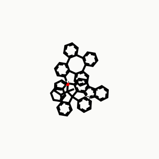 CC12C=CC=CC1c1ccccc1C2(c1ccccc1)c1c(N(C2=CCCC=C2)c2cccc3c2-c2ccccc2-c2ccccc2-c2ccccc2-3)ccc2c1oc1ccccc12